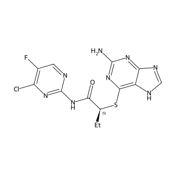 CC[C@H](Sc1nc(N)nc2nc[nH]c12)C(=O)Nc1ncc(F)c(Cl)n1